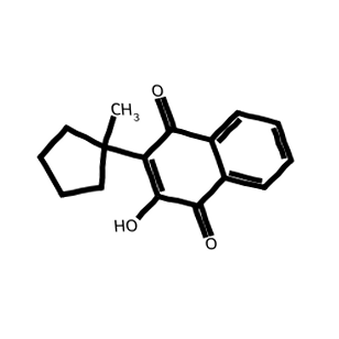 CC1(C2=C(O)C(=O)c3ccccc3C2=O)CCCC1